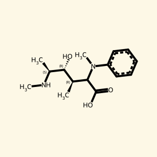 CN[C@@H](C)[C@H](O)[C@H](C)C(C(=O)O)N(C)c1ccccc1